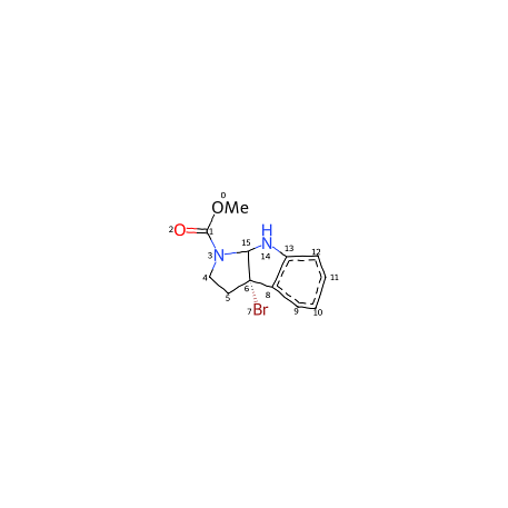 COC(=O)N1CC[C@]2(Br)c3ccccc3NC12